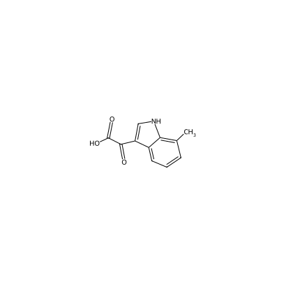 Cc1cccc2c(C(=O)C(=O)O)c[nH]c12